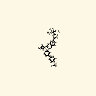 CC(C)(C)c1nc(C23CCC(CN(C(=O)C45CC(F)(C4)C5)c4cccc(-c5ccc(OC(F)F)cn5)c4)(CC2)CC3)no1